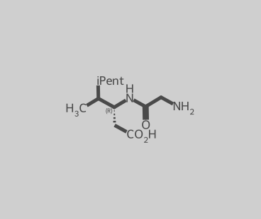 CCCC(C)C(C)[C@@H](CC(=O)O)NC(=O)CN